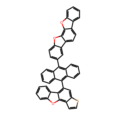 c1ccc2c(c1)oc1c2ccc2c3cc(-c4c5ccccc5c(-c5cc6sccc6c6oc7ccccc7c56)c5ccccc45)ccc3oc21